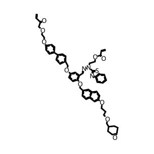 C=CC(=O)COCCOc1ccc(-c2ccc(COc3ccc(OCc4ccc5cc(OCCCOCC6CCC7OC7C6)ccc5c4)c(/C=N/N(CCOC(=O)C=C)c4nc5ccccc5s4)c3)cc2)cc1